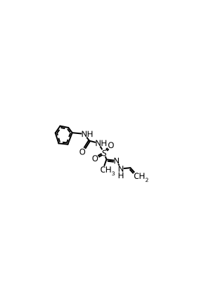 C=CN/N=C(\C)S(=O)(=O)NC(=O)Nc1ccccc1